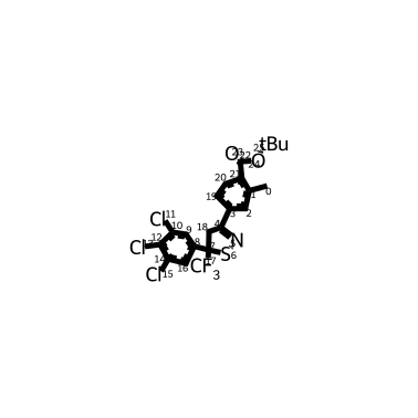 Cc1cc(C2=NSC(c3cc(Cl)c(Cl)c(Cl)c3)(C(F)(F)F)C2)ccc1C(=O)OC(C)(C)C